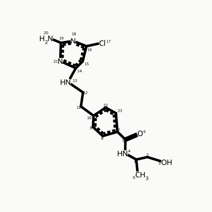 CC(CO)NC(=O)c1ccc(CCNc2cc(Cl)nc(N)n2)cc1